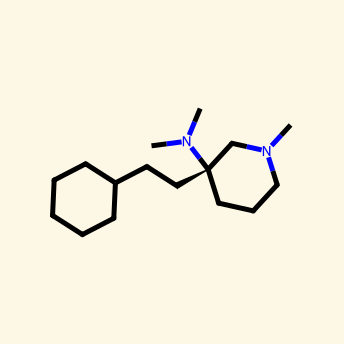 CN1CCC[C@](CCC2CCCCC2)(N(C)C)C1